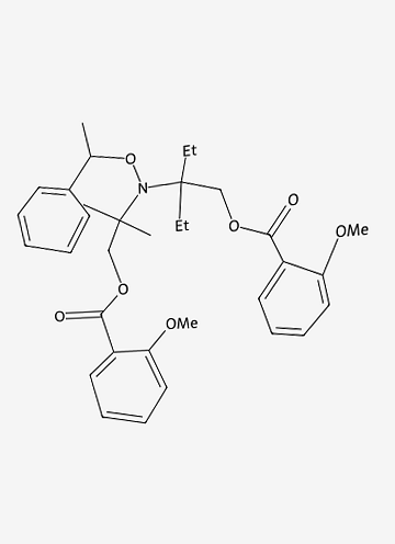 CCC(CC)(COC(=O)c1ccccc1OC)N(OC(C)c1ccccc1)C(C)(C)COC(=O)c1ccccc1OC